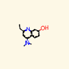 CCc1cc(N(C)C)c2ccc(O)cc2n1